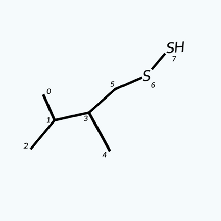 CC(C)C(C)CSS